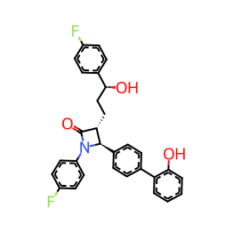 O=C1[C@H](CC[C@H](O)c2ccc(F)cc2)[C@@H](c2ccc(-c3ccccc3O)cc2)N1c1ccc(F)cc1